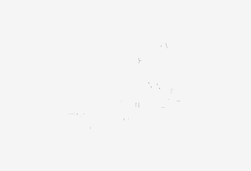 O=C(O[C@H]1CC[C@@H](C(=O)O)CC1)N1CCc2c(C(F)(F)F)nn(Cc3ccc(Cl)cc3F)c2C1